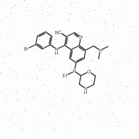 CCN(c1cc(CN(C)C)c2ncc(C#N)c(Nc3cccc(Br)c3)c2c1)C1CNCCO1